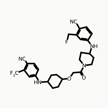 N#Cc1ccc(NC2CCN(C(=O)COC3CCC(Nc4ccc(C#N)c(C(F)(F)F)c4)CC3)CC2)cc1CF